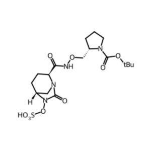 CC(C)(C)OC(=O)N1CCC[C@H]1CONC(=O)[C@@H]1CC[C@@H]2CN1C(=O)N2OS(=O)(=O)O